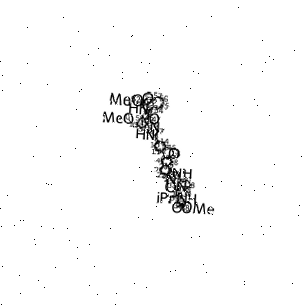 COC[C@H]1C[C@@H](c2ncc(-c3ccc4c(c3)COc3cc5c(ccc6nc([C@@H]7CC[C@H](C)N7C(=O)[C@@H](NC(=O)OC)C(C)C)[nH]c65)cc3-4)[nH]2)N(C(=O)[C@H](NC(=O)OC)C2C=CC=CC2)C1